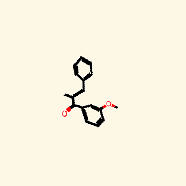 COc1cccc(C(=O)C(C)=Cc2ccccc2)c1